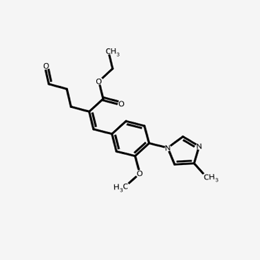 CCOC(=O)C(=Cc1ccc(-n2cnc(C)c2)c(OC)c1)CCC=O